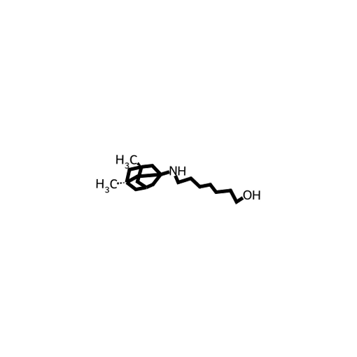 C[C@]12CC3CC(NCCCCCCCO)(C1)C[C@@](C)(C3)C2